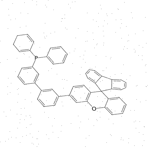 C1=CC(P(c2ccccc2)c2cccc(-c3cccc(-c4ccc5c(c4)Oc4ccccc4C54c5ccccc5-c5ccccc54)c3)c2)=CCC1